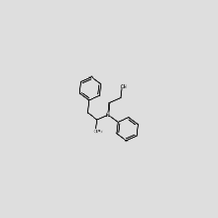 CC(=O)OC(Cc1ccccc1)N(CCC#N)c1ccccc1